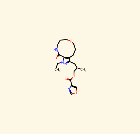 CCn1nc(C[C@@H](C)COC(=O)c2cocn2)c2c1C(=O)NCCCOCCC2